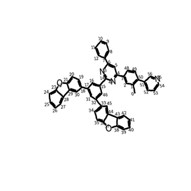 Cc1cc(-c2cc(-c3ccccc3)nc(-c3cc(-c4ccc5oc6ccccc6c5c4)cc(-c4ccc5oc6ccccc6c5c4)c3)n2)ccc1-c1cccnc1